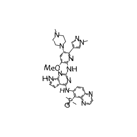 COc1cc(N2CCN(C)CC2)c(-c2cnn(C)c2)nc1Nc1nc(Nc2ccc3nccnc3c2P(C)(C)=O)c2cc[nH]c2n1